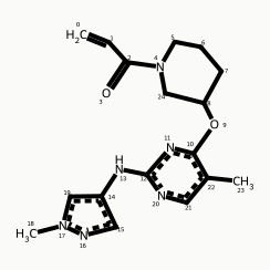 C=CC(=O)N1CCCC(Oc2nc(Nc3cnn(C)c3)ncc2C)C1